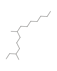 CCCCCCCC(C)CCCC(C)CC